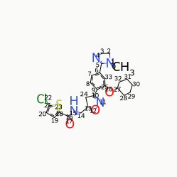 CN1CCN=C1c1ccc(C2=NOC(CNC(=O)c3ccc(Cl)s3)C2)c(OC2CCCCC2)c1